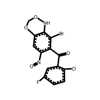 O=Nc1cc2c(c(Br)c1C(=O)c1cc(F)ccc1Cl)NOCO2